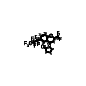 O=C1CCCN1C1=CC(C(F)F)Oc2ccc(C(F)(F)C(F)(F)C(F)(F)F)cc21